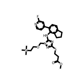 COC(=O)CCSc1nc(Nc2c(-c3ccnc(F)c3)ccc3c2CCC3)n(COCC[Si](C)(C)C)n1